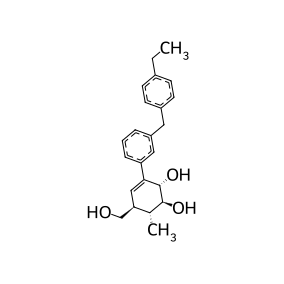 CCc1ccc(Cc2cccc(C3=C[C@H](CO)[C@@H](C)[C@H](O)[C@H]3O)c2)cc1